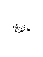 CC(C)(C)OC(=O)N[C@H]1CC[C@@H](Nc2c(C(=O)C3CC3)cnc3ccc(Br)cc23)CC1